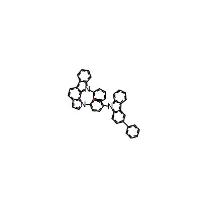 c1ccc(-c2ccc3c(c2)c2ccccc2n3-c2ccc(-n3ccc4ccc5c6ccccc6n(-c6ccccc6)c5c43)cc2)cc1